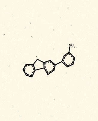 O=[N+]([O-])c1cccc(-c2ccc3c(c2)Cc2ccccc2-3)c1